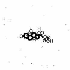 C[C@]12CCC(=O)C=C1CC[C@@H]1[C@@H]2C(=O)C[C@@]2(C)[C@H]1CC[C@]2(O)C(=O)COS(=O)(=O)O